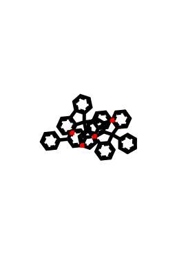 c1ccc(-c2ccc(N(c3ccccc3C3(c4ccccc4)c4ccccc4-c4ccccc43)c3ccccc3C3(c4ccccc4)c4ccccc4-c4ccccc43)cc2)cc1